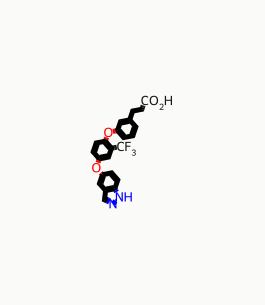 O=C(O)CCc1cccc(Oc2ccc(Oc3ccc4[nH]ncc4c3)cc2C(F)(F)F)c1